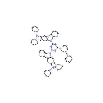 c1ccc(-c2cccc(-c3nc(-n4c5ccccc5c5cc6c(cc54)c4ccccc4n6-c4ccccc4)nc(-n4c5ccccc5c5cc6c(cc54)c4ccccc4n6-c4ccccc4)n3)c2)cc1